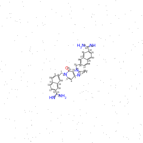 CC(C)c1nc2ccn(Cc3ccc4ccc(C(=N)N)cc4c3)c(=O)c2n1Cc1ccc2ccc(C(=N)N)cc2c1